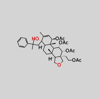 CC(=O)OCC[C@]12COC[C@H]1[C@]1(C)CC[C@@H]3[C@@](C)(C1[C@H](OC(C)=O)[C@@H]2OC(C)=O)[C@H](OC(C)=O)C=C(C)[C@]3(O)CC(C)(C)c1ccccc1